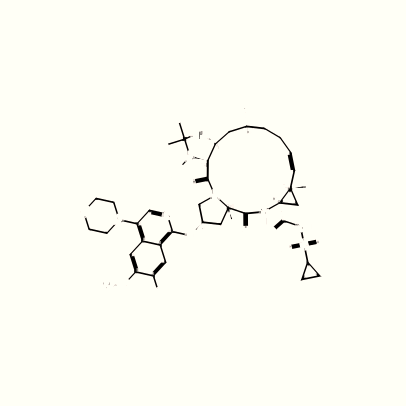 CC[C@@H]1C[C@H](C)CCC=C[C@@H]2C[C@@]2(C(=O)NS(=O)(=O)C2CC2)NC(=O)[C@@H]2C[C@@H](Oc3ncc(N4CCOCC4)c4cc(OC)c(F)cc34)CN2C(=O)[C@H]1N(C(=O)O)C(C)(C)C(F)(F)F